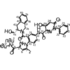 CCCCN(CCCC)C(=O)c1cc(C)n(-c2ccc(NC(=O)c3nn(-c4ccccc4)c(=O)cc3O)cc2C(=O)N2Cc3ccccc3C[C@H]2CO)n1